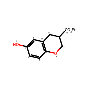 CCOC(=O)C1COc2ccc(O)cc2C1